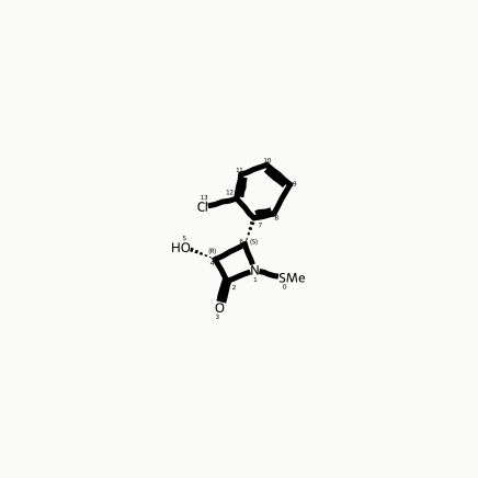 CSN1C(=O)[C@H](O)[C@@H]1c1ccccc1Cl